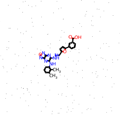 Cc1cccc(Nc2nc3nonc3nc2N/N=C/c2ccc(-c3cccc(C(=O)O)c3)o2)c1C